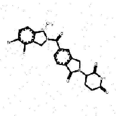 C[C@H]1c2ccc(Br)c(F)c2CN1C(=O)c1ccc2c(c1)CN(C1CCC(=O)NC1=O)C2=O